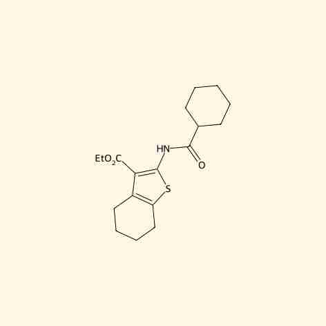 CCOC(=O)c1c(NC(=O)C2CCCCC2)sc2c1CCCC2